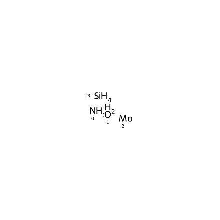 N.O.[Mo].[SiH4]